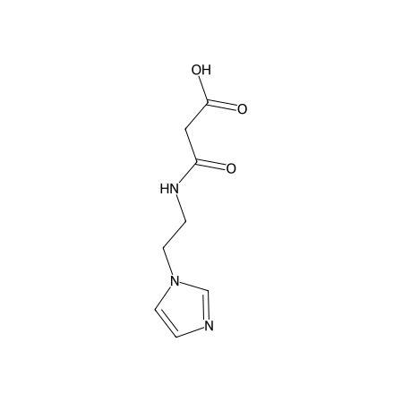 O=C(O)CC(=O)NCCn1ccnc1